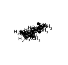 CC[C@H](C)[C@H](NC(=O)CNC(=O)[C@@H](NC(=O)[C@H](CC(=O)O)NC(=O)[C@H](Cc1ccccc1)NC(=O)C1CCCN1C(=O)[C@H](C)NC(=O)[C@H](CC(N)=O)NC(=O)[C@@H](N)Cc1ccccc1)C(C)C)C(=O)N[C@@H](CCCCN)C(=O)N[C@@H](CC(C)C)C(=O)N[C@@H](CO)C(=O)NCC(=O)NC